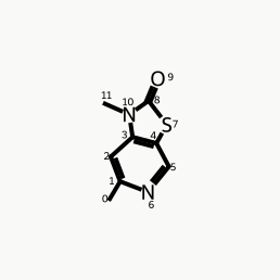 Cc1cc2c(cn1)sc(=O)n2C